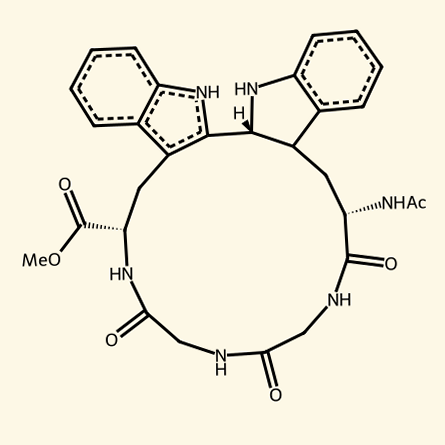 COC(=O)[C@@H]1Cc2c([nH]c3ccccc23)[C@@H]2Nc3ccccc3C2C[C@H](NC(C)=O)C(=O)NCC(=O)NCC(=O)N1